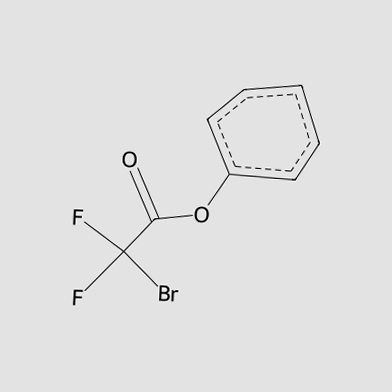 O=C(Oc1ccccc1)C(F)(F)Br